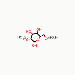 O=S(=O)(O)OC[C@H]1O[C@H](O)[C@H](OS(=O)(=O)O)[C@@H](O)[C@H]1O